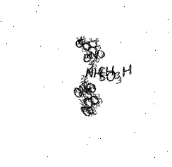 CS(=O)(=O)O.O=C1c2cccc3c2c(cc2occc23)C(=O)N1CCCCNCCCN1C(=O)c2cccc3c2c(cc2occc23)C1=O